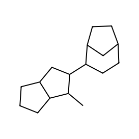 CC1C2CCCC2CC1C1CCC2CCC1C2